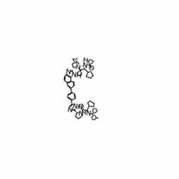 COC(=O)N[C@H](C(=O)N1CCC[C@H]1c1ncc(-c2ccc(-c3ccc4c(ccc5nc([C@@H]6C[Si](C)(C)CN6C(=O)[C@@H](NC(=O)OC)C6CCCC6)[nH]c54)c3)cc2)[nH]1)C1CCCC1